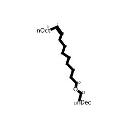 CCCCCCCC/C=C\CCCCCCCCO[CH]CCCCCCCCCC